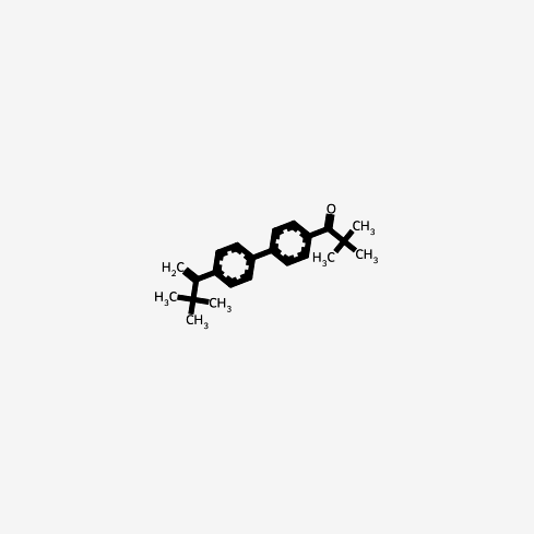 C=C(c1ccc(-c2ccc(C(=O)C(C)(C)C)cc2)cc1)C(C)(C)C